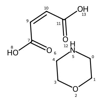 C1COCCN1.O=C(O)/C=C\C(=O)O